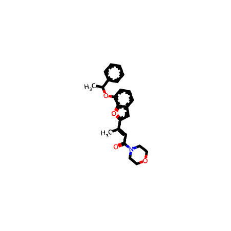 C/C(=C\C(=O)N1CCOCC1)c1cc2cccc(OC(C)c3ccccc3)c2o1